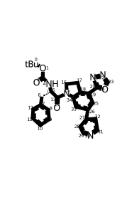 CC(C)(C)OC(=O)N[C@@H](Cc1ccccc1)C(=O)N1CCc2c(-c3nnco3)cc(-c3ccncc3)cc21